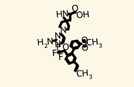 CC=Cc1ccc([C@@H](Oc2cc(N3CCC4(CC3)CNC(C(=O)O)C4)nc(N)n2)C(F)(F)F)c(-c2cccc(S(C)(=O)=O)c2)c1